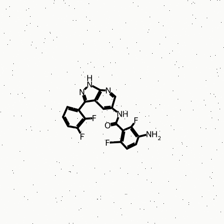 Nc1ccc(F)c(C(=O)Nc2cnc3[nH]nc(-c4cccc(F)c4F)c3c2)c1F